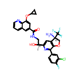 C[C@](O)(CNC(=O)c1cc(OC2CC2)c2ncccc2c1)c1cc2c(c(-c3ccc(F)c(Cl)c3)n1)OC[C@@]2(N)C(F)(F)F